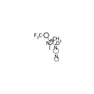 Cn1c(-c2cccc(C(F)(F)F)c2)nc(I)c1C(=O)N1CCC(N2CCCC2)CC1